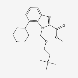 COC(=O)c1nc2cccc(C3CCCCC3)c2n1COCC[Si](C)(C)C